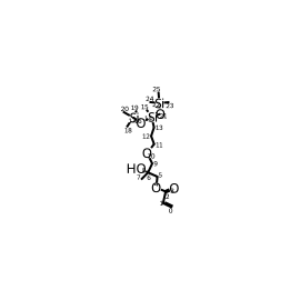 C=CC(=O)OCC(C)(O)COCCC[Si](C)(O[Si](C)(C)C)O[Si](C)(C)C